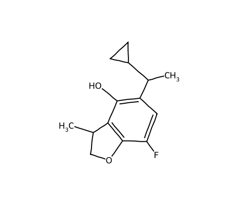 CC1COc2c(F)cc(C(C)C3CC3)c(O)c21